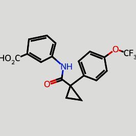 O=C(O)c1cccc(NC(=O)C2(c3ccc(OC(F)(F)F)cc3)CC2)c1